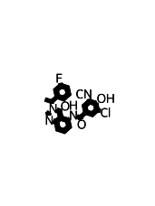 CC(c1cccc(F)c1)n1cnc2cccc(NC(=O)c3cc(Cl)c(O)c(C#N)c3)c2c1=O